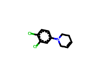 Clc1ccc(N2CC=CCC2)cc1Cl